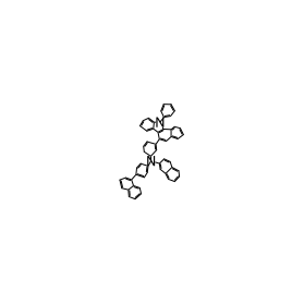 C1=CC(c2cc3ccccc3c3c2c2ccccc2n3-c2ccccc2)=CC(N(c2ccc(-c3cccc4ccccc34)cc2)c2ccc3ccccc3c2)C1